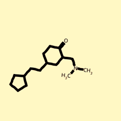 CN(C)CC1CC(CCC2CCCC2)CCC1=O